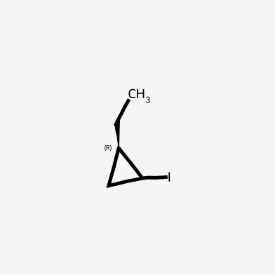 CC[C@@H]1CC1I